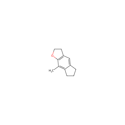 Cc1c2c(cc3c1OCC3)CCC2